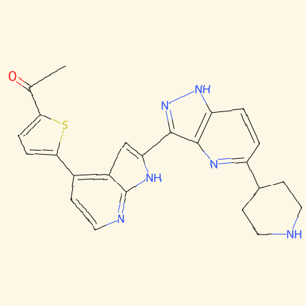 CC(=O)c1ccc(-c2ccnc3[nH]c(-c4n[nH]c5ccc(C6CCNCC6)nc45)cc23)s1